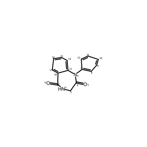 O=C1NCC(=O)N(c2ccccc2)c2ccccc21